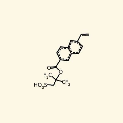 C=Cc1ccc2cc(C(=O)OC(CS(=O)(=O)O)(C(F)(F)F)C(F)(F)F)ccc2c1